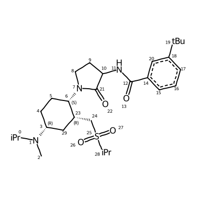 CC(C)N(C)[C@@H]1CC[C@H](N2CCC(NC(=O)c3cccc(C(C)(C)C)c3)C2=O)[C@H](CS(=O)(=O)C(C)C)C1